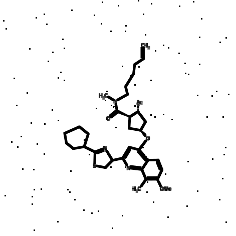 C=CCCCCN(C)C(=O)[C@@H]1C[C@H](Oc2cc(C3CSC(C4CCCCC4)=N3)nc3c(C)c(OC)ccc23)C[C@H]1C(C)=O